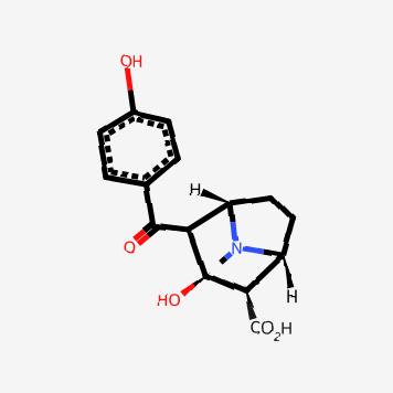 CN1[C@@H]2CC[C@H]1C(C(=O)c1ccc(O)cc1)[C@H](O)[C@@H]2C(=O)O